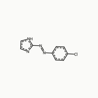 Clc1ccc(/N=N/c2ncc[nH]2)cc1